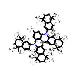 Cc1cc2c3c(c1)N(c1cc4c(cc1C)C(C)(C)CCC4(C)C)c1cc4c(cc1B3c1cc3c(cc1N2c1cc2c(cc1C)C(C)(C)CCC2(C)C)C(C)(C)CCC3(C)C)C(C)(C)CCC4(C)C